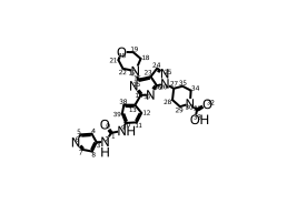 O=C(Nc1ccncc1)Nc1ccc(-c2nc(N3CCOCC3)c3cnn(C4CCN(C(=O)O)CC4)c3n2)cc1